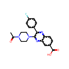 CC(=O)N1CCN(c2nc3cc(C(=O)O)ccc3nc2-c2ccc(F)cc2)CC1